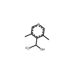 Cc1cncc(C)c1C(O)[N+](=O)[O-]